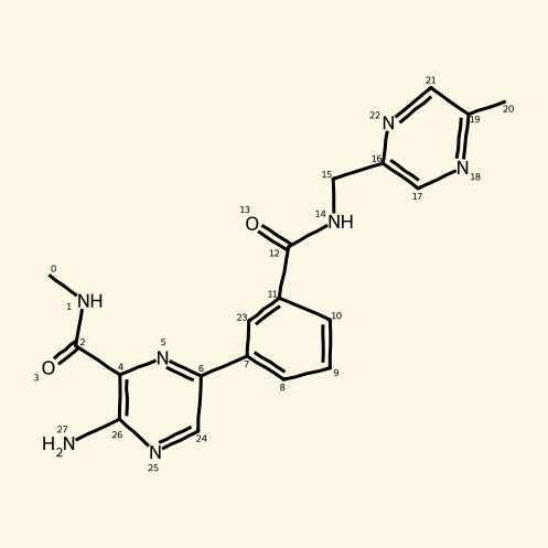 CNC(=O)c1nc(-c2cccc(C(=O)NCc3cnc(C)cn3)c2)cnc1N